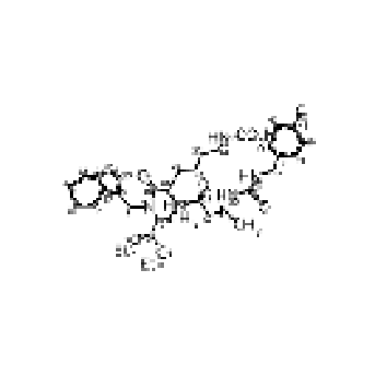 CCOC(OCC)C(C)N(Cc1csc2ccccc12)C(=O)C(CCCCNC(=O)O)NC(=O)CN(C)NC(=O)NCc1ccc(Cl)cc1